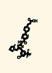 C[C@@H]1CCCN1Cc1sc(NC(=O)c2cnc(N3CCN(CCC(=O)O)CC3)cn2)nc1-c1cc(Cl)cc(C(F)(F)F)c1